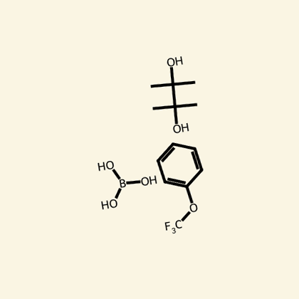 CC(C)(O)C(C)(C)O.FC(F)(F)Oc1ccccc1.OB(O)O